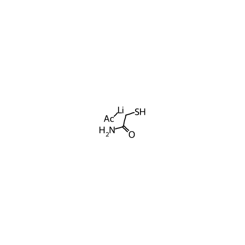 NC(=O)CS.[Li][C](C)=O